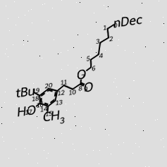 CCCCCCCCCCCCCCCCOC(=O)CCc1cc(C)c(O)c(C(C)(C)C)c1